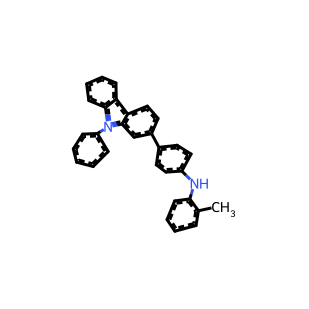 Cc1ccccc1Nc1ccc(-c2ccc3c4ccccc4n(-c4ccccc4)c3c2)cc1